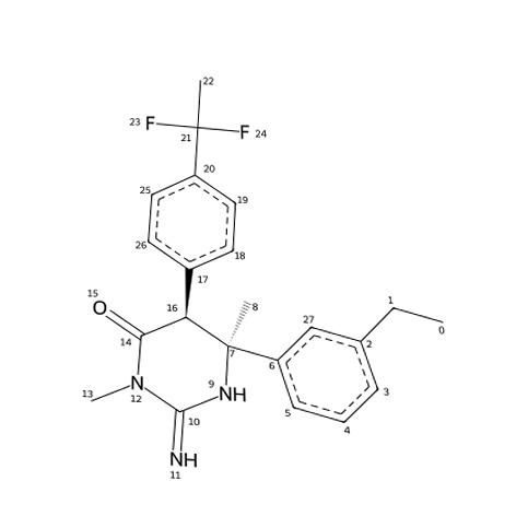 CCc1cccc([C@@]2(C)NC(=N)N(C)C(=O)[C@H]2c2ccc(C(C)(F)F)cc2)c1